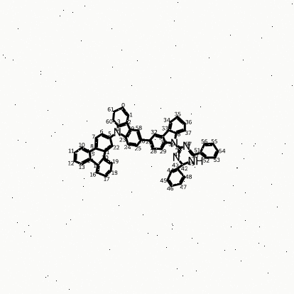 C1=Cc2c(n(-c3ccc4c5ccccc5c5ccccc5c4c3)c3ccc(-c4ccc5c(c4)c4ccccc4n5C4=NC(c5ccccc5)NC(c5ccccc5)=N4)cc23)CC1